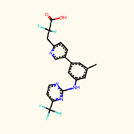 Cc1cc(Nc2nccc(C(F)(F)F)n2)cc(-c2ccc(CC(F)(F)C(=O)O)nc2)c1